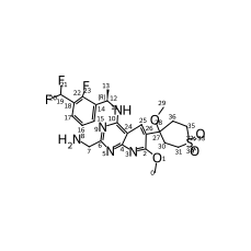 COc1nc2nc(CN)nc(N[C@H](C)c3cccc(C(F)F)c3F)c2cc1C1(OC)CCS(=O)(=O)CC1